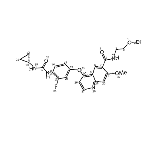 CCOCCNC(=O)c1cc2c(Oc3ccc(NC(=O)NC4CC4)c(F)c3)ccnc2cc1OC